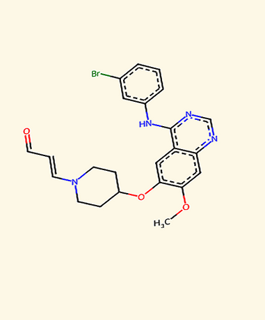 COc1cc2ncnc(Nc3cccc(Br)c3)c2cc1OC1CCN(C=CC=O)CC1